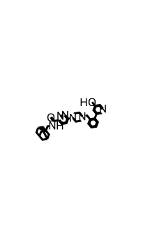 O=C(NCC12CC3CC(CC(C3)C1)C2)c1ccc(N2CCN(Cc3ccccc3-c3cncc(O)c3)CC2)nn1